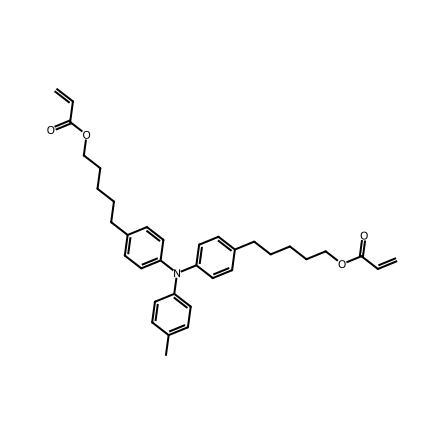 C=CC(=O)OCCCCCc1ccc(N(c2ccc(C)cc2)c2ccc(CCCCCOC(=O)C=C)cc2)cc1